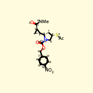 CNC(=O)[C@@H]1C[C@H]1[C@@H]1C[C@H](SC(C)=O)CN1C(=O)OCc1ccc([N+](=O)[O-])cc1